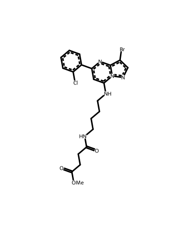 COC(=O)CCC(=O)NCCCCNc1cc(-c2ccccc2Cl)nc2c(Br)cnn12